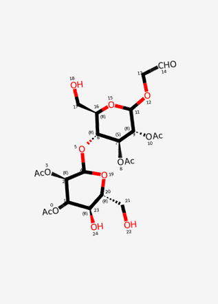 CC(=O)OC1[C@@H](OC(C)=O)C(O[C@H]2[C@H](OC(C)=O)[C@@H](OC(C)=O)C(OCC=O)O[C@@H]2CO)O[C@H](CO)[C@H]1O